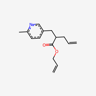 C=CCOC(=O)C(CC=C)Cc1ccc(C)nc1